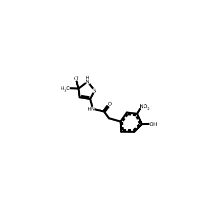 CC1(Cl)C=C(NC(=O)Cc2ccc(O)c([N+](=O)[O-])c2)SN1